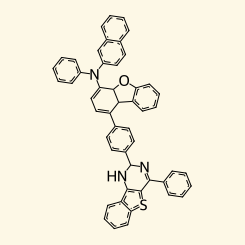 C1=C(c2ccc(C3N=C(c4ccccc4)c4sc5ccccc5c4N3)cc2)C2c3ccccc3OC2C(N(c2ccccc2)c2ccc3ccccc3c2)=C1